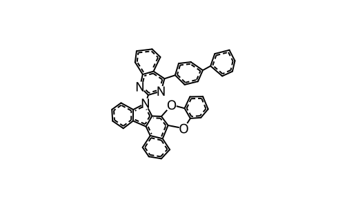 c1ccc(-c2ccc(-c3nc(-n4c5ccccc5c5c6ccccc6c6c(c54)Oc4ccccc4O6)nc4ccccc34)cc2)cc1